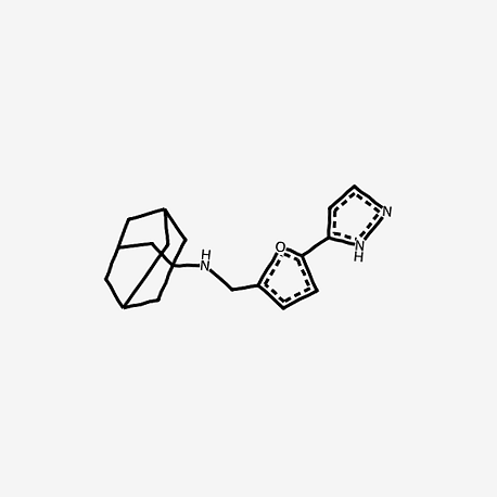 c1cc(-c2ccc(CNC34CC5CC(CC(C5)C3)C4)o2)[nH]n1